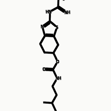 CC(C)CCNC(=O)OC1CCc2nc(NC(=N)N)sc2C1